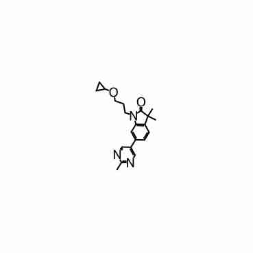 Cc1ncc(-c2ccc3c(c2)N(CCCOC2CC2)C(=O)C3(C)C)cn1